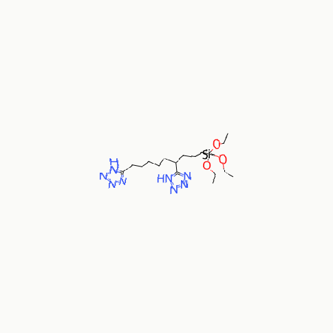 CCO[Si](CCCC(CCCCCc1nnn[nH]1)c1nnn[nH]1)(OCC)OCC